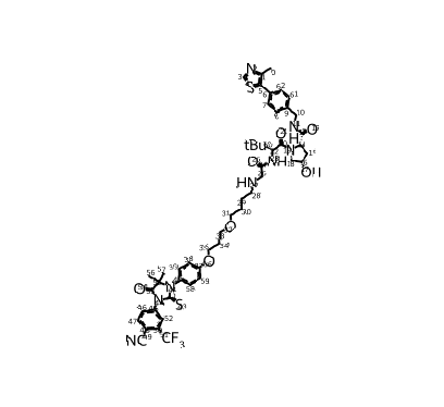 Cc1ncsc1-c1ccc(CNC(=O)[C@@H]2C[C@@H](O)CN2C(=O)[C@@H](NC(=O)CNCCCCOCCCOc2ccc(N3C(=S)N(c4ccc(C#N)c(C(F)(F)F)c4)C(=O)C3(C)C)cc2)C(C)(C)C)cc1